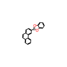 c1ccc2c(c1)OB(c1ccc3ccc4ccccc4c3c1)O2